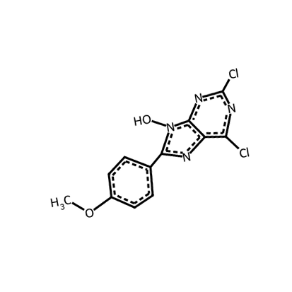 COc1ccc(-c2nc3c(Cl)nc(Cl)nc3n2O)cc1